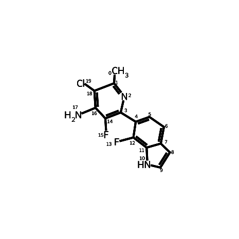 Cc1nc(-c2ccc3cc[nH]c3c2F)c(F)c(N)c1Cl